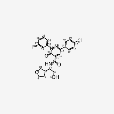 O=C(NC(CO)C1CCOC1)c1cc(-c2ccc(Cl)cc2)nn(-c2cccc(F)c2)c1=O